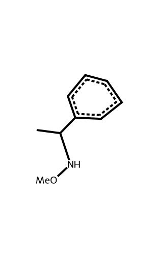 CONC(C)c1ccccc1